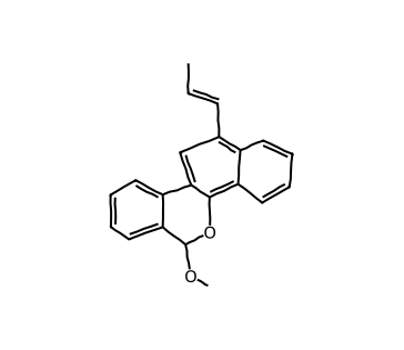 CC=Cc1cc2c(c3ccccc13)OC(OC)c1ccccc1-2